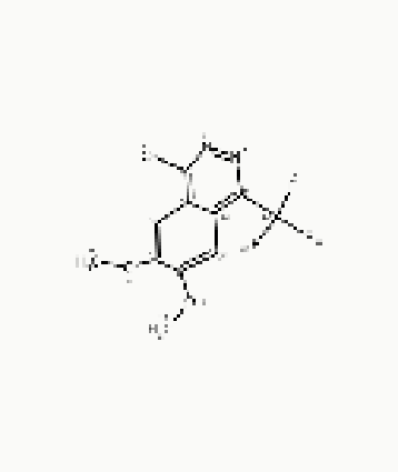 COc1cc2c(Cl)nnc(C(F)(F)F)c2cc1OC